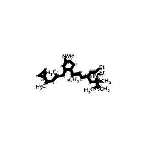 C=C(/C=C(\C)CC1=C(/C(C)=C/C=C(\C=C\CC)CC(C)(NCC)C(=C)C)CCC(NC)=C1)C1CC1